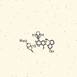 C#Cc1cccc2cc(O)cc(-c3ncc4c(N5C[C@H]6CC[C@@H](C5)N6)nc(OC[C@]56CC(=C)CN5C[C@H](OC)C6)nc4c3F)c12